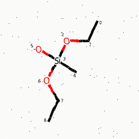 CCO[Si](C)([O])OCC